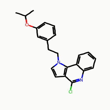 CC(C)Oc1cccc(CCn2ccc3c(Cl)nc4ccccc4c32)c1